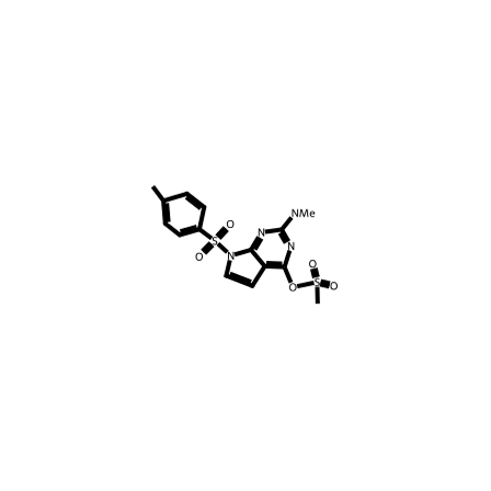 CNc1nc(OS(C)(=O)=O)c2ccn(S(=O)(=O)c3ccc(C)cc3)c2n1